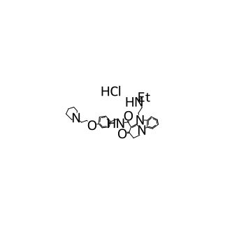 CCNCCN1C2=C(C(=O)NCc3ccc(OCCN4CCCCC4)cc3)C(=O)CCN2c2ccccc21.Cl